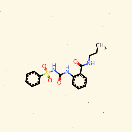 CCCNC(=O)c1ccccc1NC(=O)NS(=O)(=O)c1ccccc1